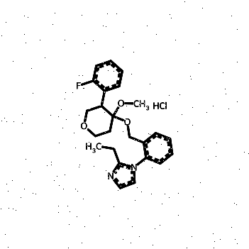 CCc1nccn1-c1ccccc1COC1(OC)CCOCC1c1ccccc1F.Cl